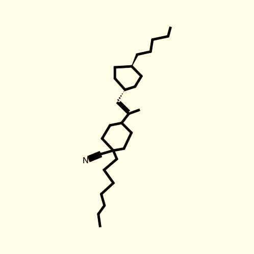 CCCCCCCC1(C#N)CCC(C(C)=C[C@H]2CC[C@H](CCCCC)CC2)CC1